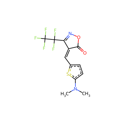 CN(C)c1ccc(/C=C2\C(=O)ON=C2C(F)(F)C(F)(F)F)s1